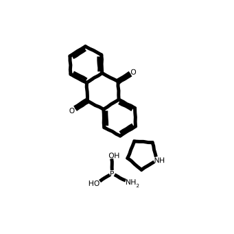 C1CCNC1.NP(O)O.O=C1c2ccccc2C(=O)c2ccccc21